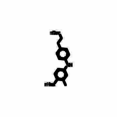 CCCCCCCCCCCCc1ccc(Nc2ccc(CCCCCC)c(C)c2)cc1